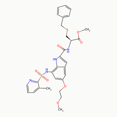 COCCOc1cc(NS(=O)(=O)c2ncccc2C)c2[nH]c(C(=O)N[C@@H](CSCc3ccccc3)C(=O)OC)cc2c1